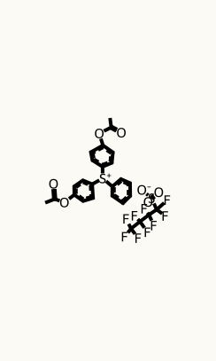 CC(=O)Oc1ccc([S+](c2ccccc2)c2ccc(OC(C)=O)cc2)cc1.O=S(=O)([O-])C(F)(F)C(F)(F)C(F)(F)C(F)(F)F